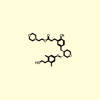 Cc1cc(SC[C@H]2COCC[C@@H]2Cc2ccc(C#N)c(CCC(=O)OCCN3CCOCC3)c2)cc(C)c1CCO